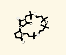 CC(C)(CCN1C(=O)CCC1=O)OCCC(C)(C)OC(C)(C)CCOC(C)(C)CN1C(=O)CCC1=O